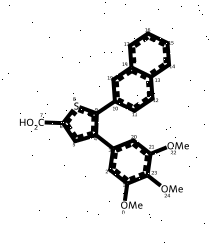 COc1cc(-c2cc(C(=O)O)sc2-c2ccc3ccccc3c2)cc(OC)c1OC